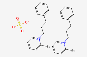 CCc1cccc[n+]1CCCc1ccccc1.CCc1cccc[n+]1CCCc1ccccc1.O=S(=O)([O-])[O-]